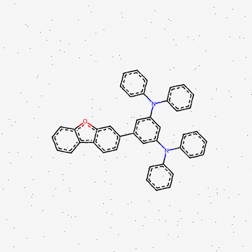 c1ccc(N(c2ccccc2)c2cc(-c3ccc4c(c3)oc3ccccc34)cc(N(c3ccccc3)c3ccccc3)c2)cc1